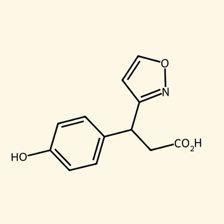 O=C(O)CC(c1ccc(O)cc1)c1ccon1